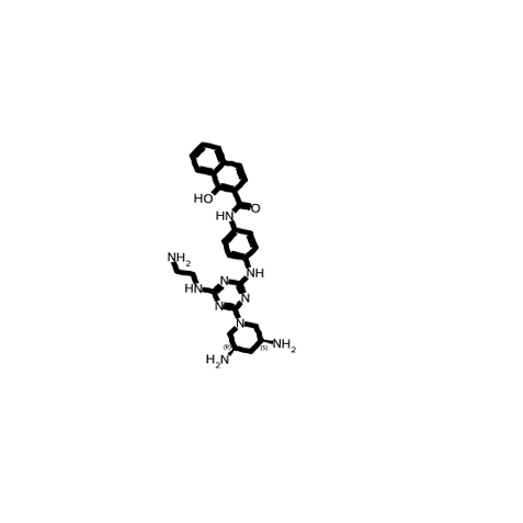 NCCNc1nc(Nc2ccc(NC(=O)c3ccc4ccccc4c3O)cc2)nc(N2C[C@H](N)C[C@H](N)C2)n1